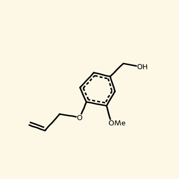 C=CCOc1ccc(CO)cc1OC